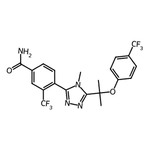 Cn1c(-c2ccc(C(N)=O)cc2C(F)(F)F)nnc1C(C)(C)Oc1ccc(C(F)(F)F)cc1